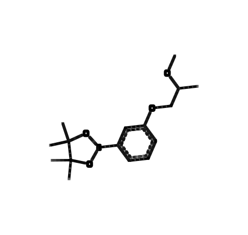 COC(C)COc1cccc(B2OC(C)(C)C(C)(C)O2)c1